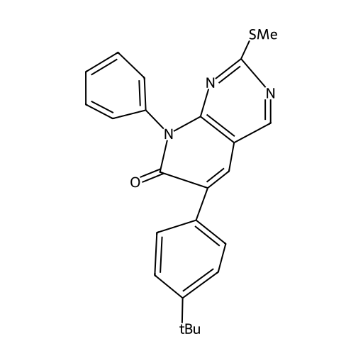 CSc1ncc2cc(-c3ccc(C(C)(C)C)cc3)c(=O)n(-c3ccccc3)c2n1